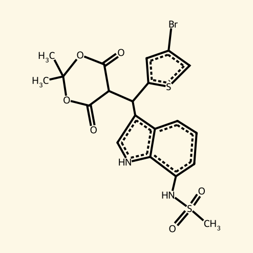 CC1(C)OC(=O)C(C(c2cc(Br)cs2)c2c[nH]c3c(NS(C)(=O)=O)cccc23)C(=O)O1